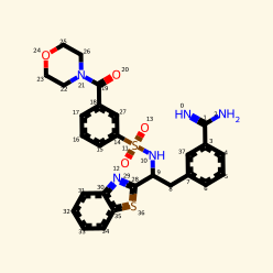 N=C(N)c1cccc(CC(NS(=O)(=O)c2cccc(C(=O)N3CCOCC3)c2)c2nc3ccccc3s2)c1